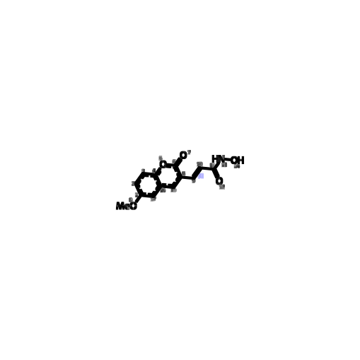 COc1ccc2oc(=O)c(/C=C/C(=O)NO)cc2c1